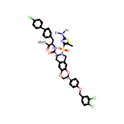 CCN(C(C)=O)c1nc(S(=O)(=O)N2Cc3cc4c(cc3C[C@H]2C(=O)NC(Cc2ccc(-c3ccc(Cl)cc3)cc2)C(=O)OC)OC[C@H](c2ccc(OCc3ccc(Cl)c(Cl)c3)cc2)O4)c(C)s1